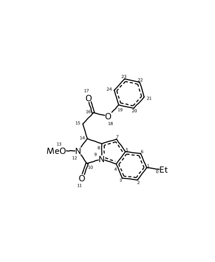 CCc1ccc2c(c1)cc1n2C(=O)N(OC)C1CC(=O)Oc1ccccc1